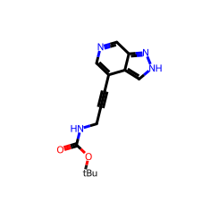 CC(C)(C)OC(=O)NCC#Cc1cncc2n[nH]cc12